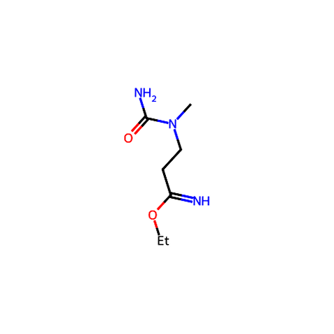 CCOC(=N)CCN(C)C(N)=O